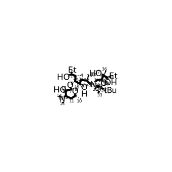 CC[C@@H](O)[C@H](C)[C@@H](OC1O[C@H](C)C[C@H](N(C)C)[C@H]1O)[C@](C)(O)C[C@@H](C)CN(C)[C@H](C)[C@@H](O[Si](C)(C)C(C)(C)C)[C@](C)(O)[C@H](O)CC